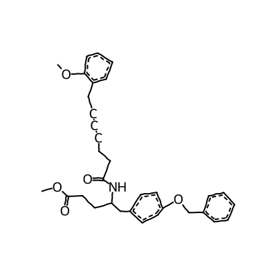 COC(=O)CCC(Cc1ccc(OCc2ccccc2)cc1)NC(=O)CCCCCCc1ccccc1OC